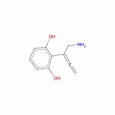 C=C=C(CN)c1c(O)cccc1O